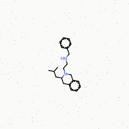 CC(C)CC1Cc2ccccc2CN1CCNCc1ccccc1